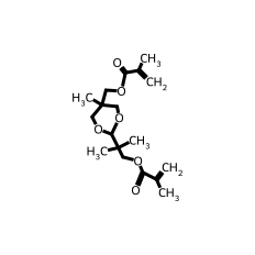 C=C(C)C(=O)OCC1(C)COC(C(C)(C)COC(=O)C(=C)C)OC1